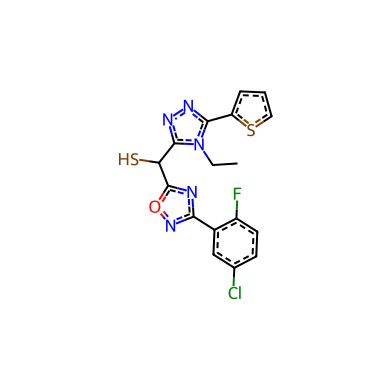 CCn1c(-c2cccs2)nnc1C(S)c1nc(-c2cc(Cl)ccc2F)no1